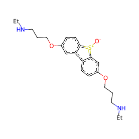 CCNCCCOc1ccc2c(c1)c1ccc(OCCCNCC)cc1[s+]2[O-]